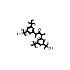 CC(C(=O)C(C)c1cc(C(C)(C)C)cc(C(C)(C)O)c1)c1cc(C(C)(C)C)cc(C(C)(C)O)c1